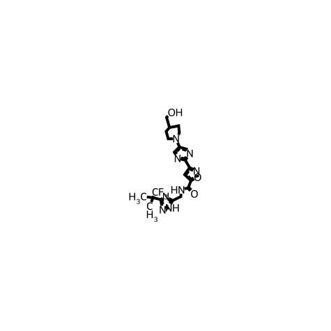 CC(C)(c1n[nH]c(CNC(=O)c2cc(-c3ncc(N4CCC(CO)CC4)cn3)no2)n1)C(F)(F)F